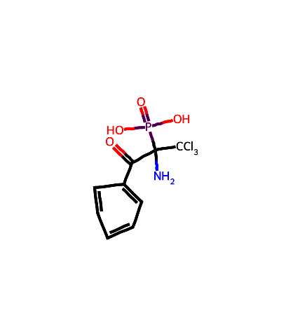 NC(C(=O)c1ccccc1)(C(Cl)(Cl)Cl)P(=O)(O)O